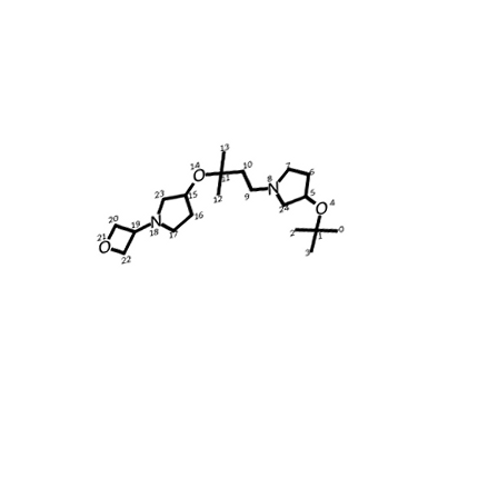 CC(C)(C)OC1CCN(CCC(C)(C)OC2CCN(C3COC3)C2)C1